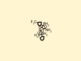 BC1(c2ccc(C(F)(F)F)cc2)OC(N)=C(OS(=O)(=O)C(B)(B)c2ccccc2)C1=O